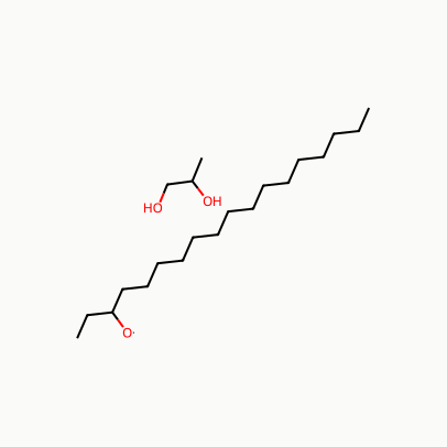 CC(O)CO.CCCCCCCCCCCCCCCC([O])CC